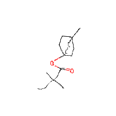 CCC(C)(C)C(=O)OC12CCC(C)(CC1)CC2